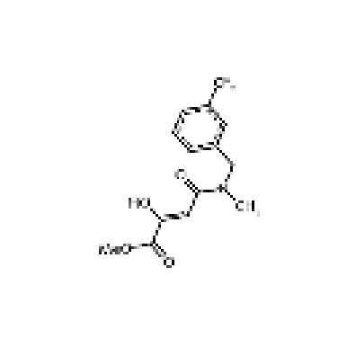 COC(=O)C(O)=CC(=O)N(C)Cc1cccc(C(F)(F)F)c1